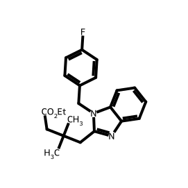 CCOC(=O)CC(C)(C)Cc1nc2ccccc2n1Cc1ccc(F)cc1